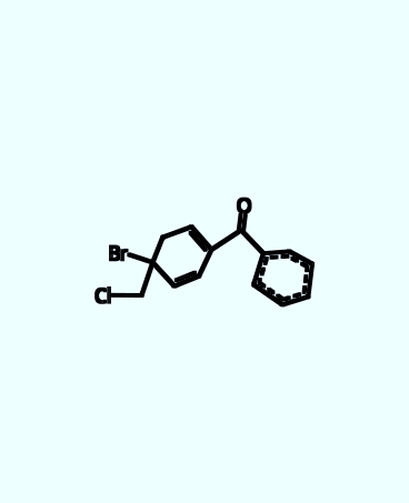 O=C(C1=CCC(Br)(CCl)C=C1)c1ccccc1